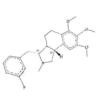 COc1cc2c(c(OC)c1OC)CCC1[C@@H](Cc3cccc(F)c3)N(C)C[C@@H]21